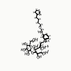 OCC(O)C(OC1OC(CO)C(O)C(O)C1O)C(O)C(O)CNc1cccc(NCOCCCCC2CCSS2)c1